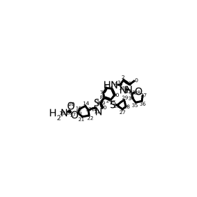 Cc1cc(Nc2ccc(-c3cnc(C4CCC(OC(N)=O)CC4)s3)c(SC3CCC3)c2)nn1C1CCCCO1